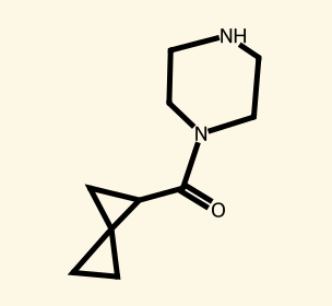 O=C(C1CC12CC2)N1CCNCC1